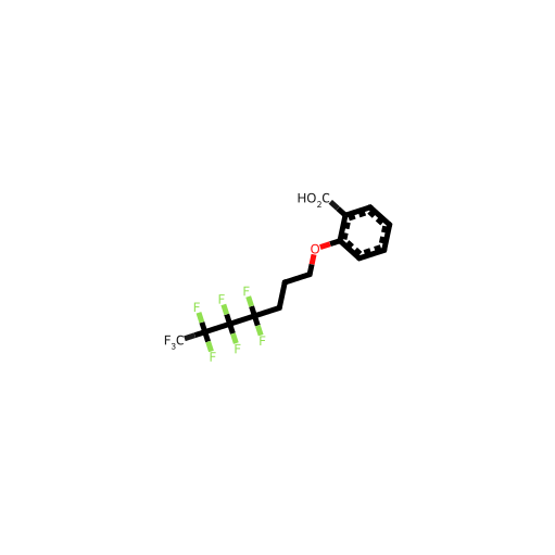 O=C(O)c1ccccc1OCCCC(F)(F)C(F)(F)C(F)(F)C(F)(F)F